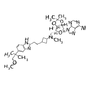 COCC(C)(C)c1ccc2[nH]c(CCC3CC(N(C)C[C@H]4O[C@@H](n5cnc6c(N)ncnc65)[C@H]5OC(C)(C)O[C@@H]54)C3)nc2c1